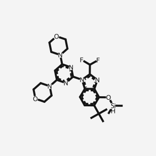 C[SiH](C)Oc1c(C(C)(C)C)ccc2c1nc(C(F)F)n2-c1nc(N2CCOCC2)cc(N2CCOCC2)n1